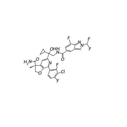 C[C@]1(C(N)=O)COc2c1cc(C(O)(CNC(=O)c1cc(F)c3nn(C(F)F)cc3c1)C1CC1)nc2-c1ccc(F)c(Cl)c1F